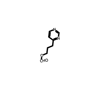 O=COCCCc1ccncn1